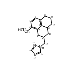 Cl.Clc1ccc2c3c1CC(Cn1cncn1)CC3CCC2